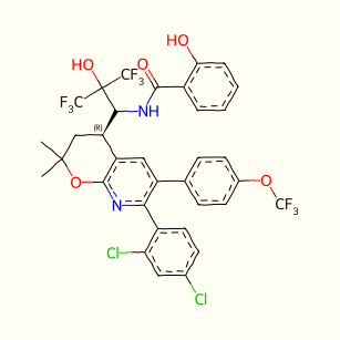 CC1(C)C[C@@H](C(NC(=O)c2ccccc2O)C(O)(C(F)(F)F)C(F)(F)F)c2cc(-c3ccc(OC(F)(F)F)cc3)c(-c3ccc(Cl)cc3Cl)nc2O1